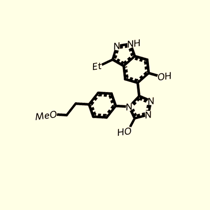 CCc1n[nH]c2cc(O)c(-c3nnc(O)n3-c3ccc(CCOC)cc3)cc12